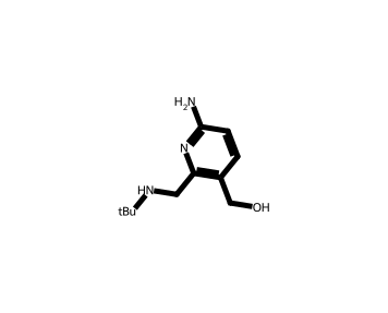 CC(C)(C)NCc1nc(N)ccc1CO